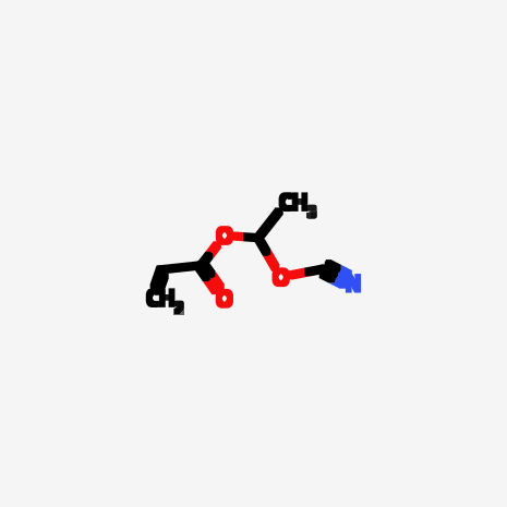 C=CC(=O)OC(C)OC#N